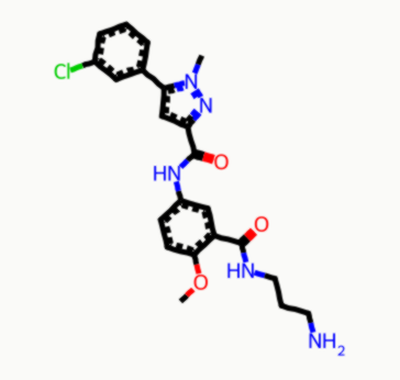 COc1ccc(NC(=O)c2cc(-c3cccc(Cl)c3)n(C)n2)cc1C(=O)NCCCN